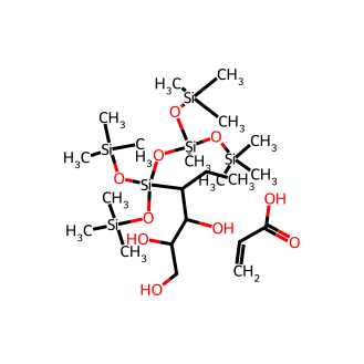 C=CC(=O)O.CCC(C(O)C(O)CO)[Si](O[Si](C)(C)C)(O[Si](C)(C)C)O[Si](C)(O[Si](C)(C)C)O[Si](C)(C)C